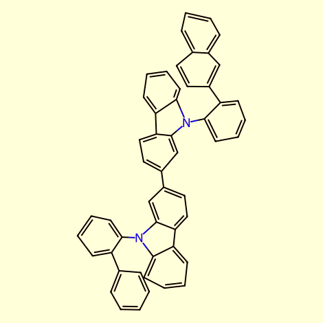 c1ccc(-c2ccccc2-n2c3ccccc3c3ccc(-c4ccc5c6ccccc6n(-c6ccccc6-c6ccc7ccccc7c6)c5c4)cc32)cc1